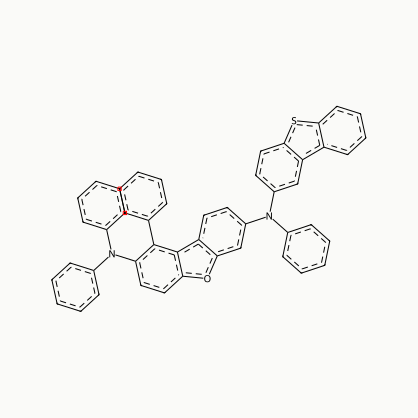 c1ccc(-c2c(N(c3ccccc3)c3ccccc3)ccc3oc4cc(N(c5ccccc5)c5ccc6sc7ccccc7c6c5)ccc4c23)cc1